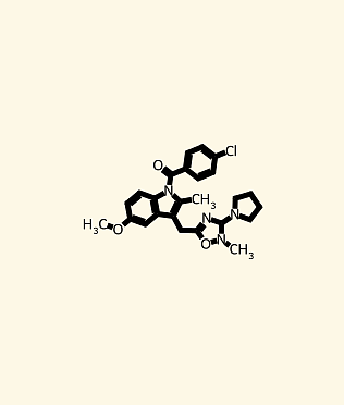 COc1ccc2c(c1)c(CC1=NC(N3CCCC3)N(C)O1)c(C)n2C(=O)c1ccc(Cl)cc1